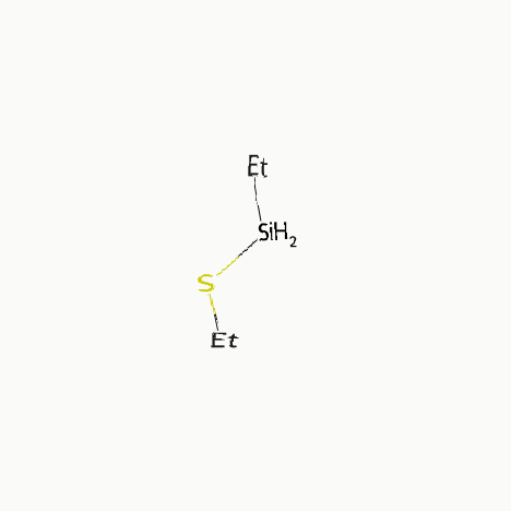 CC[SiH2]SCC